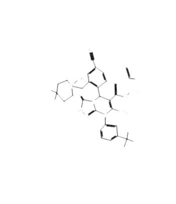 COC(=O)C1=C(C)N(c2cccc(C(F)(F)F)c2)c2n[nH]c(=O)n2C1c1ccc(C#N)cc1C[N+]1(C)CCC(F)(F)CC1.O=C[O-]